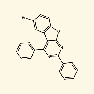 Brc1ccc2oc3nc(-c4ccccc4)nc(-c4ccccc4)c3c2c1